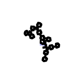 C=C(/C=C(\C=C/C)n1c2ccccc2c2cc(-c3ccc(N(c4ccccc4)c4cccc(-n5c6ccccc6c6ccccc65)c4)cc3)ccc21)N(c1ccc(-c2ccccc2)cc1)c1ccc(-c2ccccc2)cc1